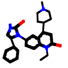 CCn1c(=O)cc(C2CCN(C)CC2)c2cc(-n3c(-c4ccccc4)c[nH]c3=O)ccc21